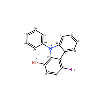 Brc1ccc(I)c2c3ccccc3n(-c3ccccc3)c12